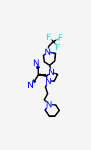 N#CC(C#N)=C1N(CCCN2CCCCC2)CCN1C1CCN(CC(F)(F)F)CC1